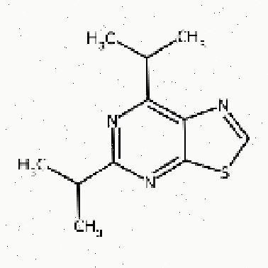 CC(C)c1nc(C(C)C)c2ncsc2n1